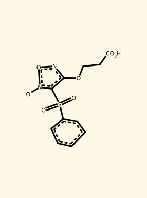 O=C(O)CCOc1no[n+]([O-])c1S(=O)(=O)c1ccccc1